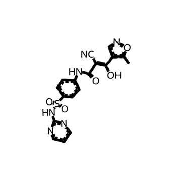 Cc1oncc1/C(O)=C(\C#N)C(=O)Nc1ccc(S(=O)(=O)Nc2ncccn2)cc1